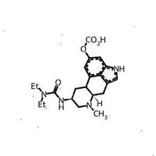 CCN(CC)C(=O)N[C@H]1CC2c3cc(OC(=O)O)cc4[nH]cc(c34)C[C@H]2N(C)C1